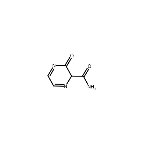 NC(=O)C1N=CC=NC1=O